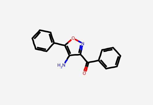 Nc1c(C(=O)c2ccccc2)noc1-c1ccccc1